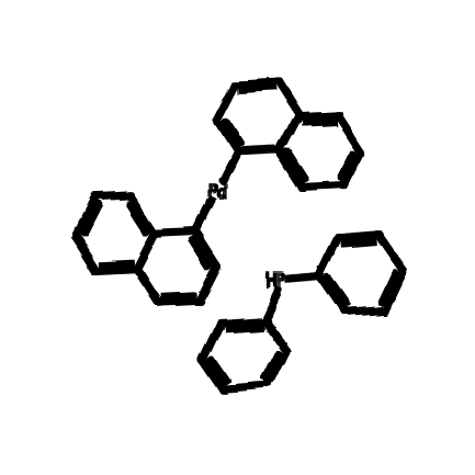 c1ccc(Pc2ccccc2)cc1.c1ccc2[c]([Pd][c]3cccc4ccccc34)cccc2c1